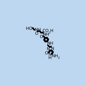 Nc1cc2ncc(CNc3ccc(C(=O)N[C@@H](CCC(=O)NCCO)C(=O)O)cc3)nc2c(=O)[nH]1